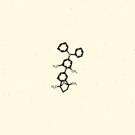 Cc1cc(N(c2ccccc2)c2ccccc2)cc(C)c1-c1ccc2c(c1)C1(C)CCC2(C)O1